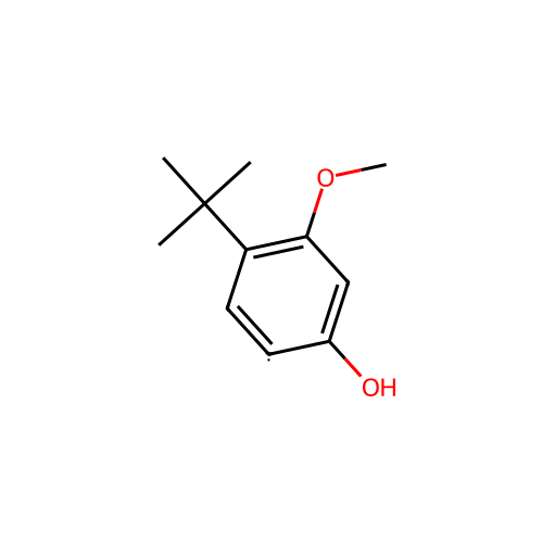 COc1cc(O)[c]cc1C(C)(C)C